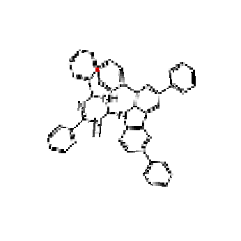 c1ccc(C2=NC(c3ccccc3)NC(n3c4ccc(-c5ccccc5)cc4c4cc(-c5ccccc5)cc(-c5ccccc5)c43)N2)cc1